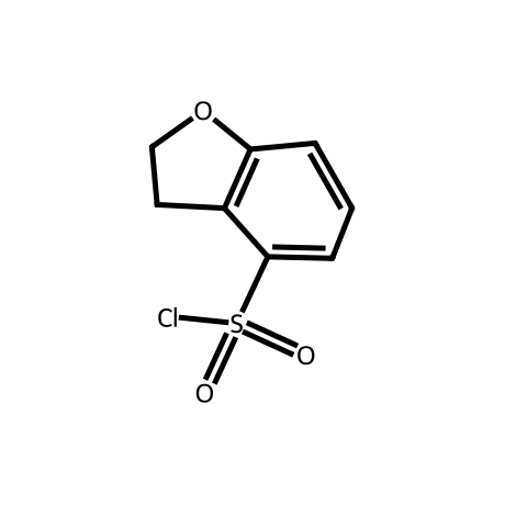 O=S(=O)(Cl)c1cccc2c1CCO2